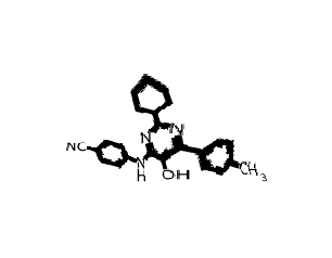 Cc1ccc(-c2nc(C3CCCCC3)nc(Nc3ccc(C#N)cc3)c2O)cc1